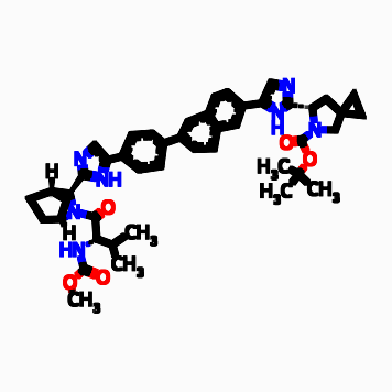 COC(=O)N[C@H](C(=O)N1[C@@H]2CC[C@@H](C2)[C@H]1c1ncc(-c2ccc(-c3ccc4cc(-c5cnc([C@@H]6CC7(CC7)CN6C(=O)OC(C)(C)C)[nH]5)ccc4c3)cc2)[nH]1)C(C)C